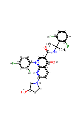 CC(C)(NC(=O)c1cn(-c2ccc(F)cc2F)c2nc(N3CCC(O)C3)ccc2c1=O)c1c(F)cccc1F